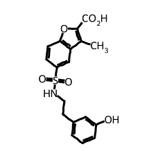 Cc1c(C(=O)O)oc2ccc(S(=O)(=O)NCCc3cccc(O)c3)cc12